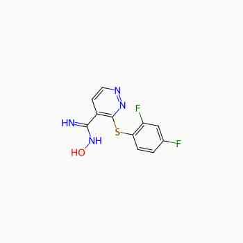 N=C(NO)c1ccnnc1Sc1ccc(F)cc1F